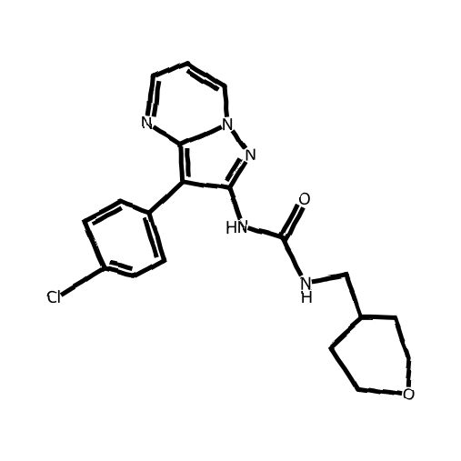 O=C(NCC1CCOCC1)Nc1nn2cccnc2c1-c1ccc(Cl)cc1